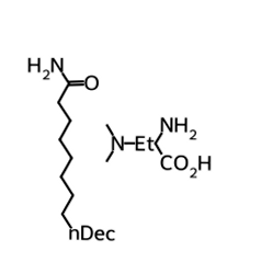 CCCCCCCCCCCCCCCCCC(N)=O.CCN(C)C.NCC(=O)O